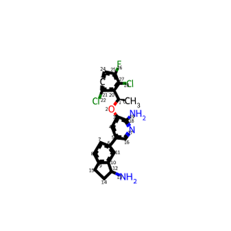 C[C@@H](Oc1cc(-c2ccc3c(c2)C(N)CC3)cnc1N)c1c(Cl)ccc(F)c1Cl